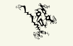 CCCCCCCCCCCCCCCC[N+](C)(C)CC.O=C(O)c1ccc(Sc2ccc(C(=O)O)cc2)cc1.O=C([O-])c1ccc(Sc2ccc(C(=O)O)cc2)cc1